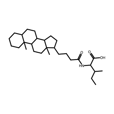 CCC(C)C(NC(=O)CCCC1CCC2C3CCC4CCCCC4(C)C3CCC12C)C(=O)O